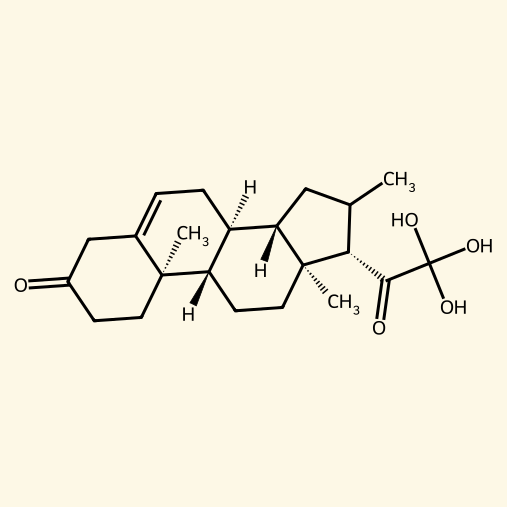 CC1C[C@H]2[C@@H]3CC=C4CC(=O)CC[C@]4(C)[C@H]3CC[C@]2(C)[C@H]1C(=O)C(O)(O)O